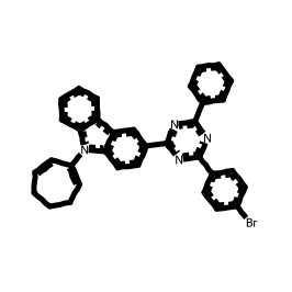 Brc1ccc(-c2nc(-c3ccccc3)nc(-c3ccc4c(c3)c3ccccc3n4C3=CCCCC=C3)n2)cc1